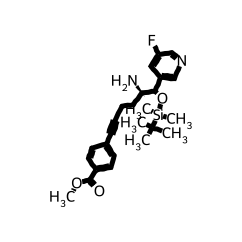 COC(=O)c1ccc(C#CCC[C@@H](N)C(O[Si](C)(C)C(C)(C)C)c2cncc(F)c2)cc1